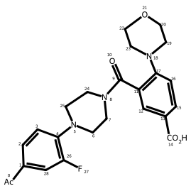 CC(=O)c1ccc(N2CCN(C(=O)c3cc(C(=O)O)ccc3N3CCOCC3)CC2)c(F)c1